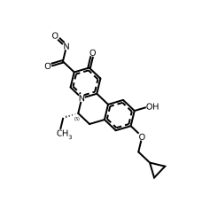 CC[C@H]1Cc2cc(OCC3CC3)c(O)cc2-c2cc(=O)c(C(=O)N=O)cn21